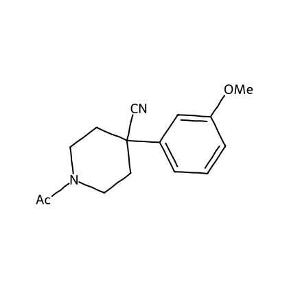 COc1cccc(C2(C#N)CCN(C(C)=O)CC2)c1